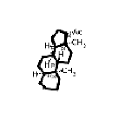 CC(=O)[C@H]1CC[C@H]2[C@@H]3CC[C@@H]4C[CH]CC[C@]4(C)[C@H]3CC[C@]12C